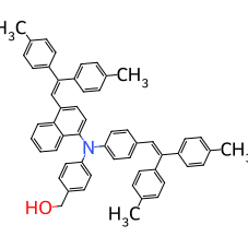 Cc1ccc(C(=Cc2ccc(N(c3ccc(CO)cc3)c3ccc(C=C(c4ccc(C)cc4)c4ccc(C)cc4)c4ccccc34)cc2)c2ccc(C)cc2)cc1